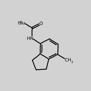 Cc1ccc(NC(=O)C(C)(C)C)c2c1CCC2